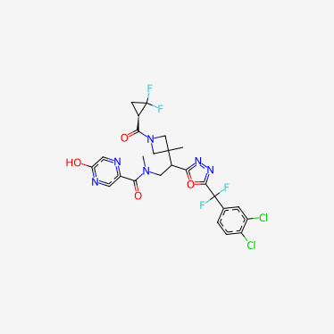 CN(CC(c1nnc(C(F)(F)c2ccc(Cl)c(Cl)c2)o1)C1(C)CN(C(=O)[C@H]2CC2(F)F)C1)C(=O)c1cnc(O)cn1